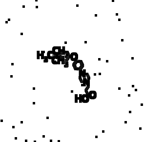 CC(C)(C)C1CCC(Oc2ccc(N3CCN(CCC(=O)O)CC3)cc2)CC1